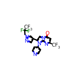 O=c1cc(C(F)(F)F)nc2n(-c3ccncc3)c(-c3cnn(CC(F)(F)C(F)(F)F)c3)cn12